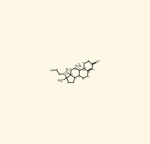 CC1(OCCI)CCC2C3CCC4=CC(=O)CC[C@]4(N)C3CCC21C